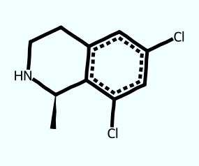 C[C@H]1NCCc2cc(Cl)cc(Cl)c21